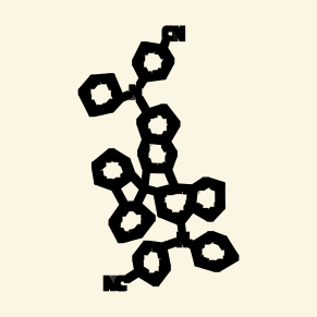 N#Cc1ccc(N(c2ccccc2)c2ccc3cc4c(cc3c2)C2(c3ccccc3-c3ccccc32)c2cc(N(c3ccccc3)c3ccc(C#N)cc3)c3ccccc3c2-4)cc1